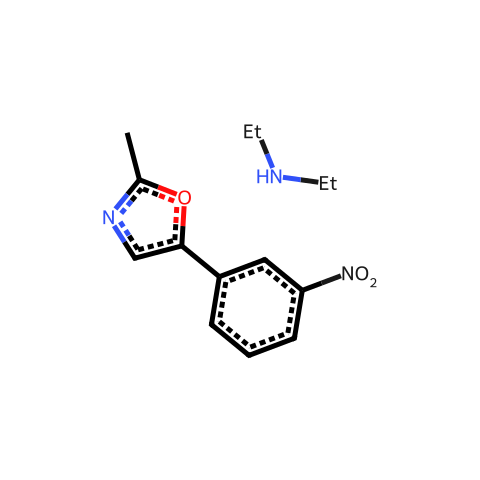 CCNCC.Cc1ncc(-c2cccc([N+](=O)[O-])c2)o1